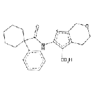 O=C(O)c1c(NC(=O)C2(c3ccccc3)CCCCC2)sc2c1CCOC2